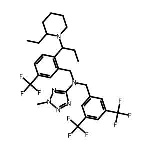 CCC1CCCCN1C(CC)c1ccc(C(F)(F)F)cc1CN(Cc1cc(C(F)(F)F)cc(C(F)(F)F)c1)c1nnn(C)n1